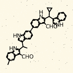 Cc1ccc2[nH]c(C(C)c3c[nH]c4cc(-c5ccc6[nH]c(C(c7c[nH]c8ccccc78)C7CC7)c(C=O)c6c5)ccc34)c(C=O)c2c1